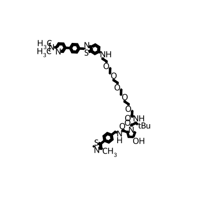 Cc1ncsc1-c1ccc(CNC(=O)C2CC(O)CN2C(=O)C(NC(=O)COCCOCCOCCOCCOCCNc2ccc3nc(-c4ccc(-c5ccc(N(C)C)nc5)cc4)sc3c2)C(C)(C)C)cc1